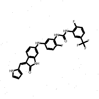 O=C(Nc1cc(Nc2ccc3c(c2)NC(=O)/C3=C\c2ccc[nH]2)ccc1F)Nc1cc(C(F)(F)F)ccc1F